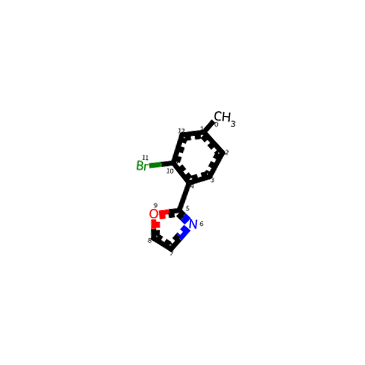 Cc1ccc(-c2ncco2)c(Br)c1